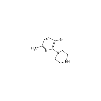 Cc1ccc(Br)c(N2CCNCC2)n1